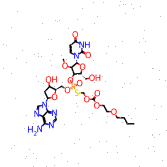 CCCCOCCOC(=O)OCSP(=O)(OC[C@H]1O[C@@H](n2cnc3c(N)ncnc32)CC1O)OC1C(OC)[C@H](n2ccc(=O)[nH]c2=O)O[C@@H]1CO